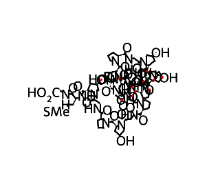 CSCC[C@H](NC(=O)[C@@H]1C[C@@H](O)CN1C(=O)CNC(=O)[C@@H]1CCCN1C(=O)[C@@H]1C[C@@H](O)CN1C(=O)CNC(=O)[C@@H]1CCCN1C(=O)[C@@H]1C[C@@H](O)CN1C(=O)CNC(=O)[C@@H]1CCCN1C(=O)[C@@H]1C[C@@H](O)CN1C(=O)CNC(=O)[C@@H]1CCCN1C(=O)[C@@H]1C[C@@H](O)CN1C(=O)CNC(=O)[C@@H]1CCCN1C(=O)[C@@H]1C[C@@H](O)CN1C(=O)CNC(=O)[C@@H]1CCCN1C(=O)[C@@H]1C[C@@H](O)CN1)C(=O)NCC(=O)O